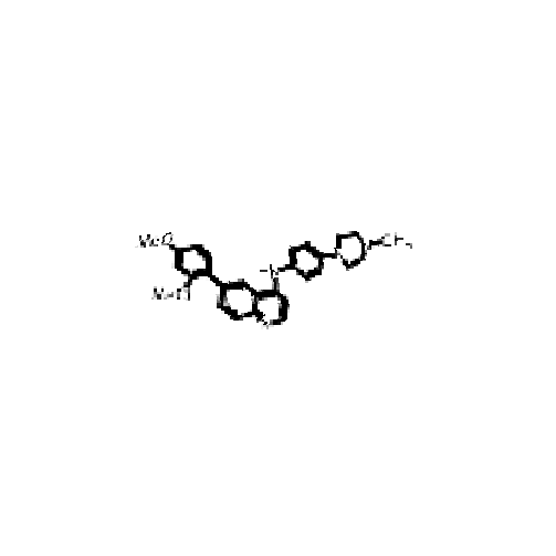 COc1ccc(-c2ccc3nccc(Nc4ccc(N5CCN(C)CC5)cc4)c3c2)c(OC)c1